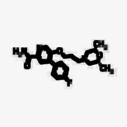 C[C@@H]1CN(CCCOc2cnc(C(N)=O)cc2-c2ccc(F)cc2)C[C@H](C)O1